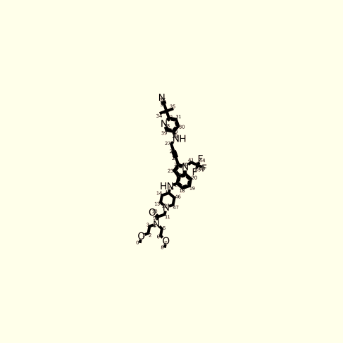 COCCN(CCOC)C(=O)CN1CCC(Nc2cccc3c2cc(C#CCNc2ccc(C(C)(C)C#N)nc2)n3CC(F)(F)F)CC1